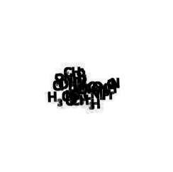 CC(C)[C@H](NC(=O)[C@H](C)NC[C@H](Cc1ccccc1)NC(=O)c1cc(C(=O)N[C@H](C)c2cccc(Cl)c2)cc(N(C)S(C)(=O)=O)c1)C(=O)NCc1ccncc1